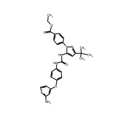 CCOC(=O)c1ccc(-n2nc(C(C)(C)C)cc2NC(=O)Nc2ccc(Oc3ccnc(N)c3)cc2)cc1